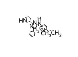 C=C/C=C(\C=C/CNc1cc(-c2ccccc2)nc(C2CCCNC2)n1)N(C)C